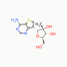 C[C@]1(O)[C@@H](c2csc3c(N)ncnc23)O[C@H](CO)[C@H]1O